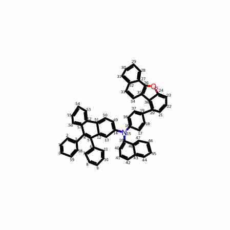 c1ccc(-c2c(-c3ccccc3)c3cc(N(c4ccc(-c5cccc6oc7c8ccccc8ccc7c56)cc4)c4cccc5ccccc45)ccc3c3ccccc23)cc1